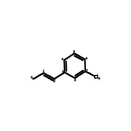 C/C=C/c1cccc(Cl)c1